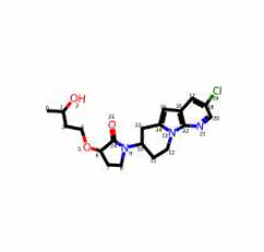 CC(O)CCOC1CCN(C2CCn3c(cc4cc(Cl)cnc43)C2)C1=O